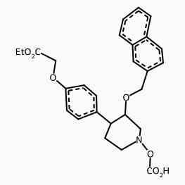 CCOC(=O)COc1ccc(C2CCN(OC(=O)O)CC2OCc2ccc3ccccc3c2)cc1